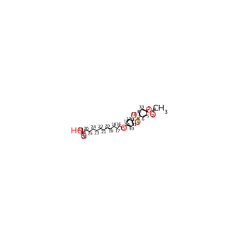 CC(=O)Oc1ccc(S(=O)(=O)c2ccc(OCCCCCCCCCCCC(=O)O)cc2)cc1